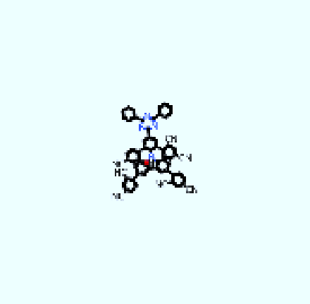 N#Cc1ccc(-c2ccc3c(c2)c2cc(-c4ccc(C#N)cc4C#N)ccc2n3-c2c(-c3ccc(C#N)cc3C#N)cc(-c3nc(-c4ccccc4)nc(-c4ccccc4)n3)cc2-c2ccc(C#N)cc2C#N)c(C#N)c1